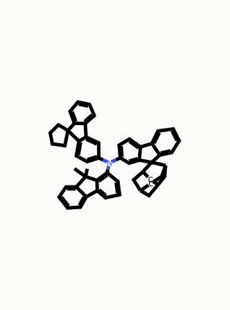 CC1(C)c2ccccc2-c2cccc(N(c3ccc4c(c3)-c3ccccc3C43CCCC3)c3ccc4c(c3)C3(c5ccccc5-4)C4CCC5CC(C4)CC3C5)c21